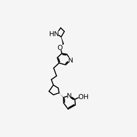 Oc1cccc([C@@H]2CCC(CCCc3cncc(OC[C@@H]4CCN4)c3)C2)n1